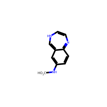 O=C(O)Nc1ccc2c(c1)=CNC=CN=2